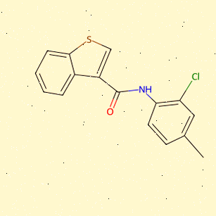 Cc1ccc(NC(=O)c2csc3ccccc23)c(Cl)c1